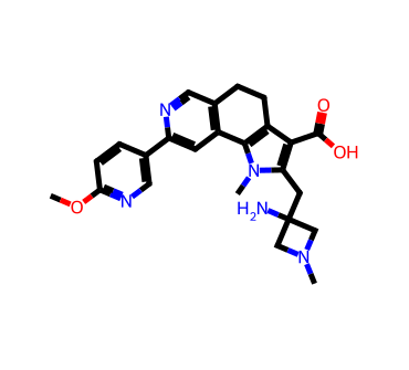 COc1ccc(-c2cc3c(cn2)CCc2c(C(=O)O)c(CC4(N)CN(C)C4)n(C)c2-3)cn1